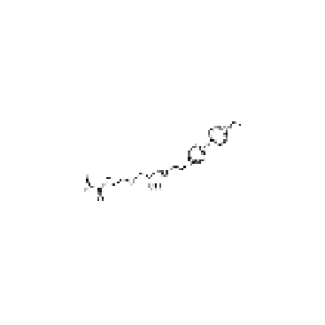 C=C(C)C(=O)OCCOCC(O)COCC[n+]1ccc(-c2cc[n+](CC)cc2)cc1